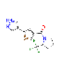 O=C(c1csc(-c2cn[nH]c2)c1)N1CCCC1C(F)(F)F